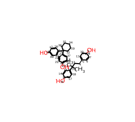 CC(C)(CCc1ccc(O)cc1)c1ccc(O)cc1.Oc1ccc(C2(c3ccc(O)cc3)CCCCC2)cc1